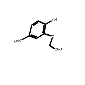 O=CCOc1cc(C=O)ccc1O